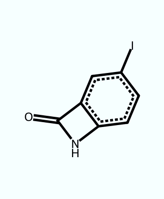 O=C1Nc2ccc(I)cc21